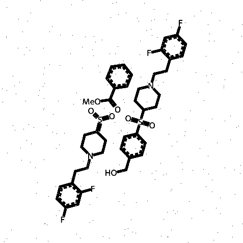 COC(=O)c1ccccc1.O=S(=O)(c1ccc(CO)cc1)C1CCN(CCc2ccc(F)cc2F)CC1.O=S(=O)=C1CCN(CCc2ccc(F)cc2F)CC1